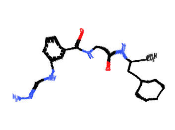 NN=CNc1cccc(C(=O)NCC(=O)NC(CC2CCCCC2)C(=O)O)c1